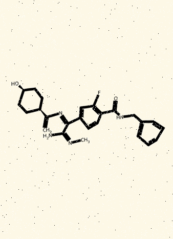 C=C(/N=C(\C(N)=N/C)c1ccc(C(=O)NCc2ccccc2)c(F)c1)[C@H]1CC[C@@H](O)CC1